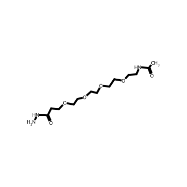 CC(=O)NCCOCCOCCOCCOCCC(=O)NN